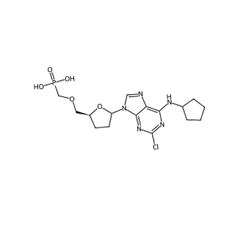 O=P(O)(O)COC[C@@H]1CCC(n2cnc3c(NC4CCCC4)nc(Cl)nc32)O1